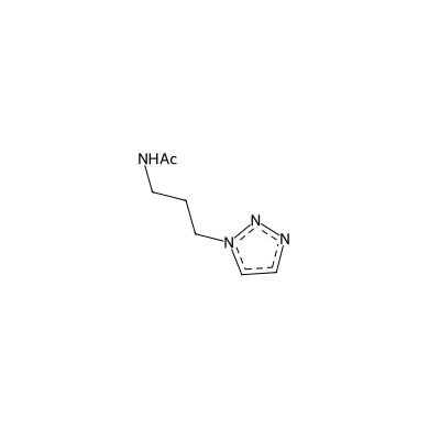 CC(=O)NCCCn1ccnn1